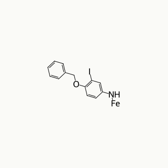 [Fe][NH]c1ccc(OCc2ccccc2)c(I)c1